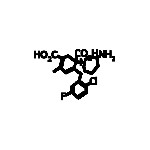 CC1=C(C(=O)O)CC(C(=O)O)(N2CCCC(N)C2)C(Cc2cc(F)ccc2Cl)=C1